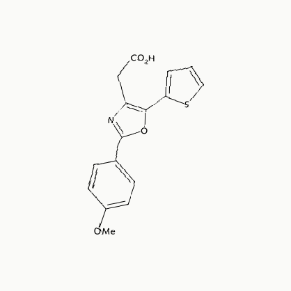 COc1ccc(-c2nc(CC(=O)O)c(-c3cccs3)o2)cc1